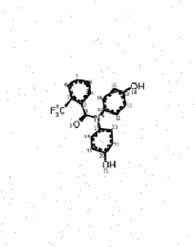 O=C(c1ccccc1C(F)(F)F)N(c1ccc(O)cc1)c1ccc(O)cc1